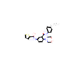 COc1ccc(NC(=O)c2cc(NC(=O)c3cccs3)ccc2N2CCOCC2)cc1